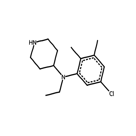 CCN(c1cc(Cl)cc(C)c1C)C1CCNCC1